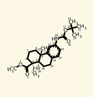 COC(=O)[C@@]1(C)CCC[C@]2(C)c3cc(NC(=O)OC(C)(C)C)ccc3CC[C@@H]12